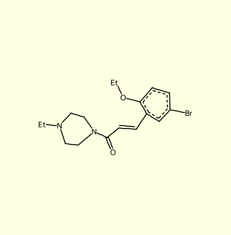 CCOc1ccc(Br)cc1/C=C/C(=O)N1CCN(CC)CC1